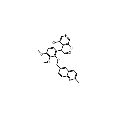 COc1ccc(C(C=O)c2c(Cl)cncc2Cl)c(OCc2ccc3nc(C)ccc3c2)c1OC